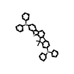 CC1(C)c2cc(N(c3ccccc3)c3ccccc3)ccc2-c2ccc3c(sc4cc(N(c5ccccc5)c5ccccc5)ccc43)c21